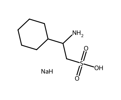 NC(CS(=O)(=O)O)C1CCCCC1.[NaH]